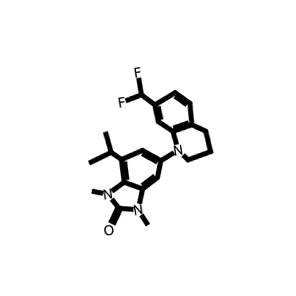 CC(C)c1cc(N2CCCc3ccc(C(F)F)cc32)cc2c1n(C)c(=O)n2C